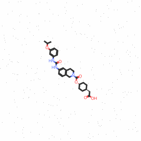 CC(C)Oc1cccc(NC(=O)Nc2ccc3c(c2)CCN(C(=O)O[C@H]2CC[C@H](CC(=O)O)CC2)C3)c1